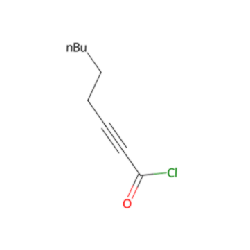 CCCCCCC#CC(=O)Cl